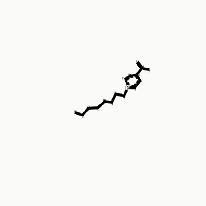 C=C(C)c1cc[n+](CCCCCCCC)cc1